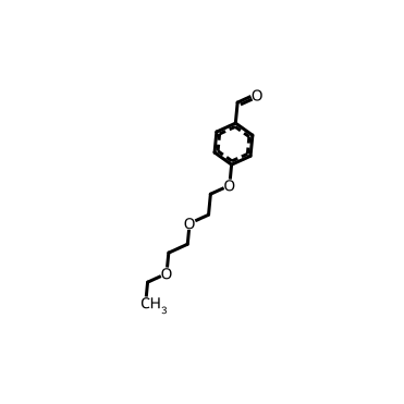 CCOCCOCCOc1ccc(C=O)cc1